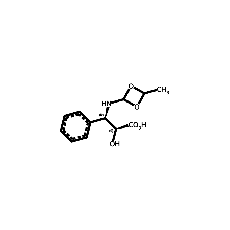 CC1OC(N[C@H](c2ccccc2)[C@H](O)C(=O)O)O1